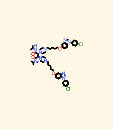 CC(C)NC(=O)C(C(C(=O)N(C)C(C)C)N1CCN(CCCCCOc2ccc3c(c2)ncn3-c2ccc(Cl)cc2)CC1)N1CCN(CCCCCOc2ccc3c(c2)ncn3-c2ccc(Cl)cc2)CC1